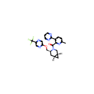 Cc1ccc(-c2ncccn2)c(C(=O)N2C[C@@H]3C[C@@H]3C[C@H]2COc2cnc(C(F)(F)F)cn2)n1